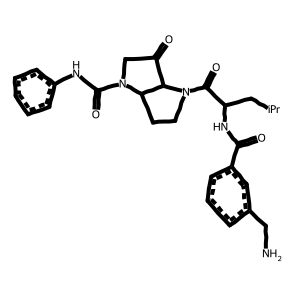 CC(C)CC(NC(=O)c1cccc(CN)c1)C(=O)N1CCC2C1C(=O)CN2C(=O)Nc1ccccc1